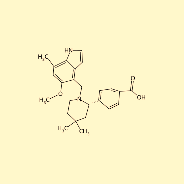 COc1cc(C)c2[nH]ccc2c1CN1CCC(C)(C)C[C@H]1c1ccc(C(=O)O)cc1